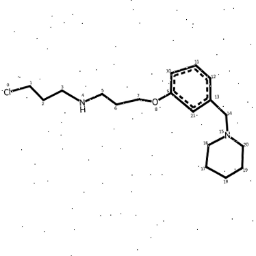 ClCCCNCCCOc1cccc(CN2CCCCC2)c1